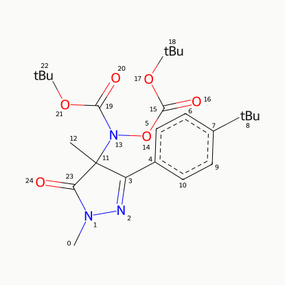 CN1N=C(c2ccc(C(C)(C)C)cc2)C(C)(N(OC(=O)OC(C)(C)C)C(=O)OC(C)(C)C)C1=O